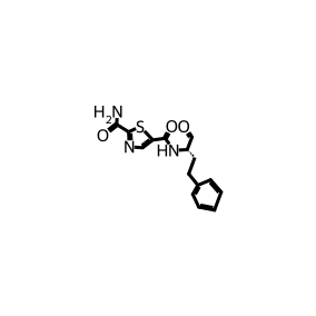 NC(=O)c1ncc(C(=O)N[C@H](C=O)CCc2ccccc2)s1